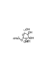 CCCCCCOC1O[C@H](CO)[C@@H](O)[C@H](O)[C@]1(O)CC